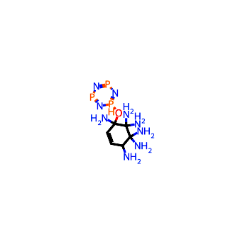 NC1C=CC(N)(O[PH]2=NP=NP=N2)C(N)(N)C1(N)N